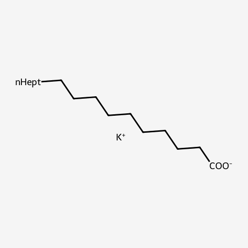 CCCCCCCCCCCCCCCCC(=O)[O-].[K+]